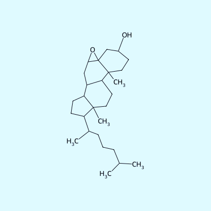 CC(C)CCCC(C)C1CCC2C3CC4OC45CC(O)CCC5(C)C3CCC12C